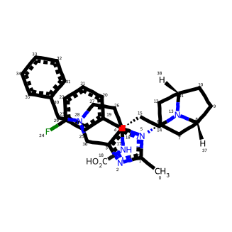 Cc1nc2c(n1[C@H]1C[C@H]3CC[C@@H](C1)N3CC[C@H](NC(=O)O)c1cccc(F)c1)CCN(Cc1ccccc1)C2